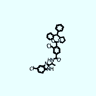 CC(NC(=O)c1ccc(C(=O)N2CCCC2C(c2ccccc2)c2ccccc2)c(Cl)c1)c1nc2cc(Cl)ccc2[nH]1